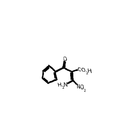 NC(=C(C(=O)O)C(=O)c1ccccc1)[N+](=O)[O-]